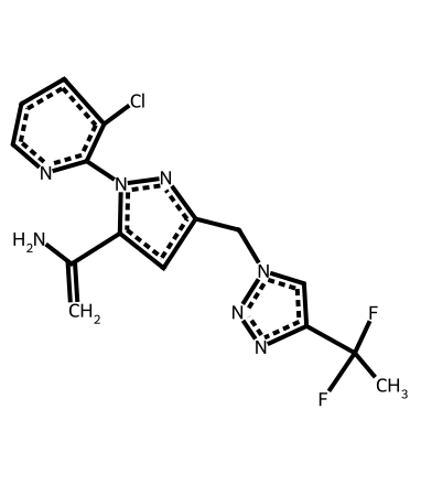 C=C(N)c1cc(Cn2cc(C(C)(F)F)nn2)nn1-c1ncccc1Cl